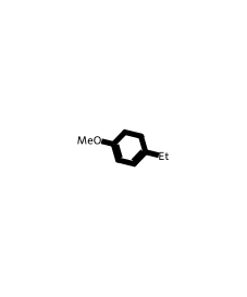 CCC1=CC=C(OC)C[CH]1